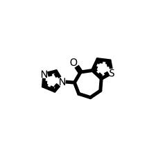 O=C1c2ccsc2CCCC1n1ccnc1